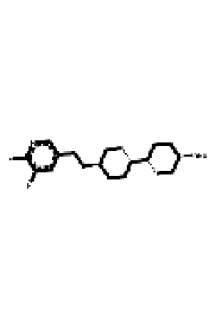 CCCC[C@H]1CC[C@H]([C@H]2CC[C@H](CCc3cnc(F)c(F)c3)CC2)CC1